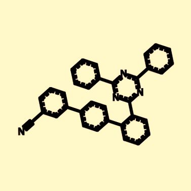 N#Cc1cccc(-c2ccc(-c3ccccc3-c3nc(-c4ccccc4)nc(-c4ccccc4)n3)cc2)c1